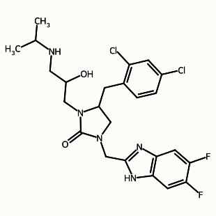 CC(C)NCC(O)CN1C(=O)N(Cc2nc3cc(F)c(F)cc3[nH]2)CC1Cc1ccc(Cl)cc1Cl